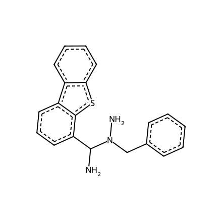 NC(c1cccc2c1sc1ccccc12)N(N)Cc1ccccc1